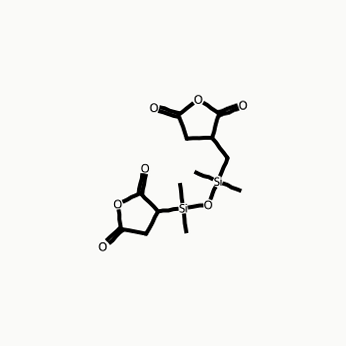 C[Si](C)(CC1CC(=O)OC1=O)O[Si](C)(C)C1CC(=O)OC1=O